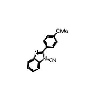 COc1ccc(-c2nc3ccccc3n2C#N)cc1